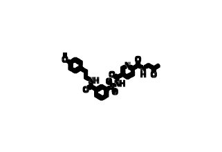 COc1ccc(CCNC(=O)c2cccc(S(=O)(=O)NC(=O)c3ccc(C(=O)NCC(C)=O)nc3)c2)cc1